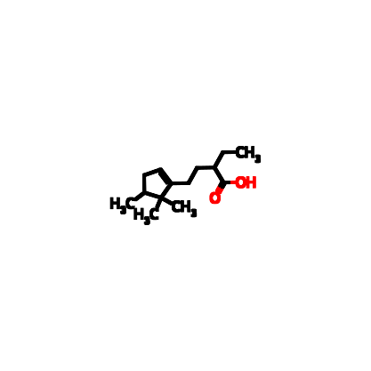 CCC(CCC1=CCC(C)C1(C)C)C(=O)O